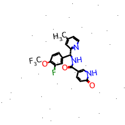 Cc1ccnc(C(NC(=O)c2ccc(=O)[nH]c2)c2ccc(OC(F)(F)F)c(F)c2)c1